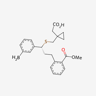 Bc1cccc([C@@H](CCc2ccccc2C(=O)OC)SCC2(CC(=O)O)CC2)c1